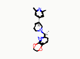 Cc1cc([C@H]2CCCN([C@H](C)c3ccc4c(n3)OCCO4)C2)cc(C)n1